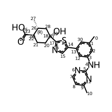 Cc1cc(Nc2nccc(C)n2)cc(-c2cnc([C@@]3(O)CC[C@@H](C(=O)O)[C@H](C)C3)s2)c1